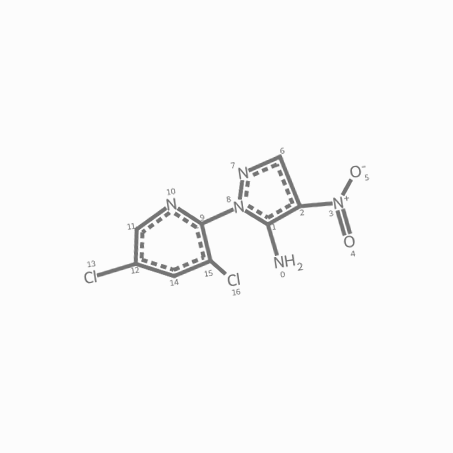 Nc1c([N+](=O)[O-])cnn1-c1ncc(Cl)cc1Cl